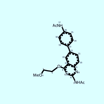 COCCOc1nc(NC(C)=O)nc2ccc(-c3ccc(NC(C)=O)cc3)cc12